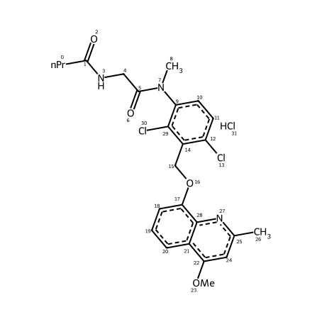 CCCC(=O)NCC(=O)N(C)c1ccc(Cl)c(COc2cccc3c(OC)cc(C)nc23)c1Cl.Cl